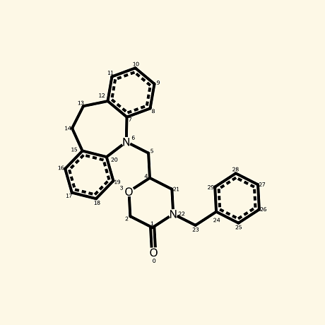 O=C1COC(CN2c3ccccc3CCc3ccccc32)CN1Cc1ccccc1